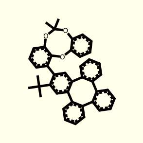 CC1(C)Oc2ccccc2Oc2c(cccc2-c2cc3c(cc2C(C)(C)C)-c2ccccc2-c2ccccc2-c2ccccc2-3)O1